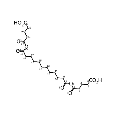 O=C(O)CCCC(=O)OC(=O)CCCCCCCCCCC(=O)OC(=O)CCCC(=O)O